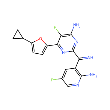 N=C(c1nc(N)c(F)c(-c2ccc(C3CC3)o2)n1)c1cc(F)cnc1N